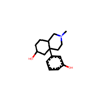 CN1CCC2(c3cccc(O)c3)CC(O)CCC2C1